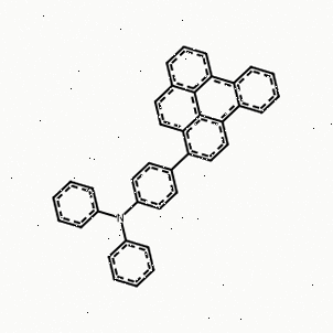 c1ccc(N(c2ccccc2)c2ccc(-c3ccc4c5ccccc5c5cccc6ccc3c4c65)cc2)cc1